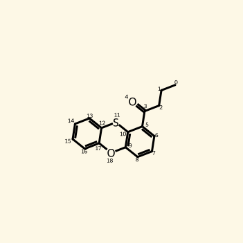 CCCC(=O)c1cccc2c1Sc1ccccc1O2